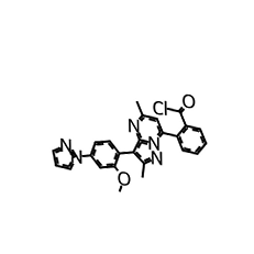 COc1cc(-n2cccn2)ccc1-c1c(C)nn2c(-c3ccccc3C(=O)Cl)cc(C)nc12